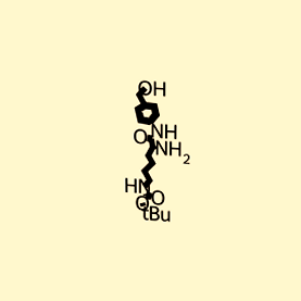 CC(C)(C)OC(=O)NCCCC[C@H](N)C(=O)Nc1ccc(CO)cc1